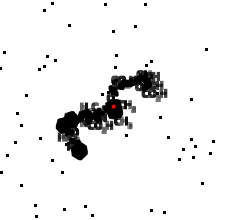 Cc1c(-c2ccc(-c3ccc4cccc(C(=O)Nc5nc6ccccc6s5)c4c3)nc2C(=O)O)cnn1CC12CC3(C)CC(C)(C1)CC(OCCN(CCCO[C@H]1O[C@@H](C(=O)O)[C@H](O)[C@@H](O)[C@@H]1O)C(=O)O)(C3)C2